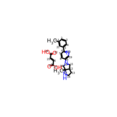 Cc1cccc(-c2ccc(N3CC4CCNC4(C)C3)cn2)c1.O=C(O)C=CC(=O)O